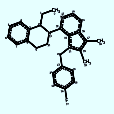 CCC1c2ccccc2CCN1c1nccc2c(C)c(C)n(Cc3ccc(F)cc3)c12